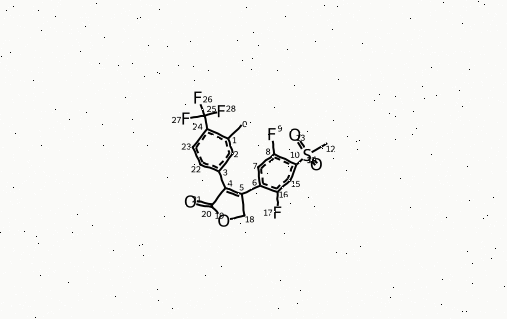 Cc1cc(C2=C(c3cc(F)c(S(C)(=O)=O)cc3F)COC2=O)ccc1C(F)(F)F